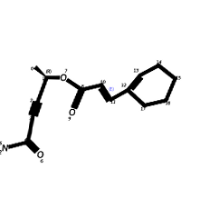 C[C@H](C#CC(N)=O)OC(=O)/C=C/C1=CCCCC1